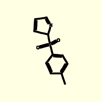 Cc1ccc(S(=O)(=O)C2C=CC=N2)cc1